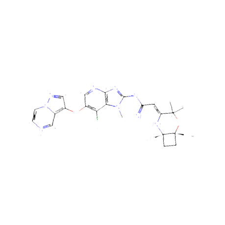 Cn1c(NC(=N)/C=C2\N[C@H]3CC[C@H]3OC2(C)C)nc2ncc(Oc3cnn4ccncc34)c(Cl)c21